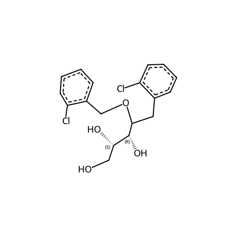 OC[C@H](O)[C@@H](O)C(Cc1ccccc1Cl)OCc1ccccc1Cl